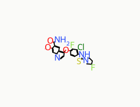 COc1cc2nccc(Oc3ccc(NC(=S)N4CCC(F)C4)c(Cl)c3F)c2cc1C(N)=O